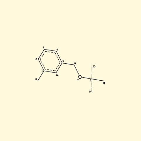 Cc1cccc(COC(C)(C)C)c1